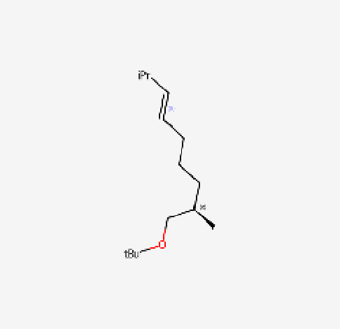 CC(C)/C=C/CCC[C@@H](C)COC(C)(C)C